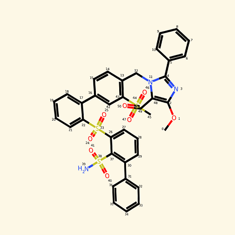 COc1nc(-c2ccccc2)n(Cc2ccc(-c3ccccc3S(=O)(=O)c3cccc(-c4ccccc4)c3S(N)(=O)=O)cc2S(C)(=O)=O)c1C=O